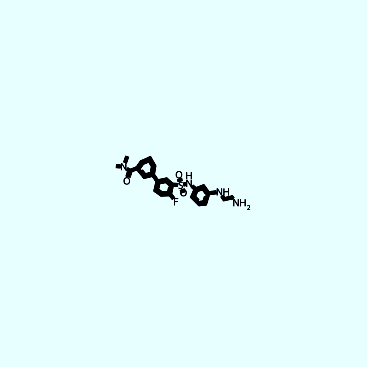 CN(C)C(=O)c1cccc(-c2ccc(F)c(S(=O)(=O)Nc3cccc(NCCN)c3)c2)c1